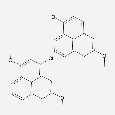 COC1=Cc2c(O)cc(OC)c3cccc(c23)C1.COC1=Cc2ccc(OC)c3cccc(c23)C1